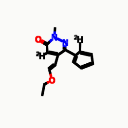 [2H]c1ccccc1-c1nn(C)c(=O)c([2H])c1C=COCC